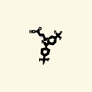 O=C(O)/C=C/c1nc(-c2ccc(C(F)(F)F)cc2)c2ccc(C(F)(F)F)cn12